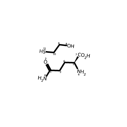 NC(=O)CC[C@H](N)C(=O)O.OCCS